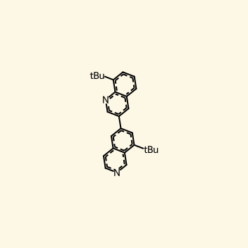 CC(C)(C)c1cc(-c2cnc3c(C(C)(C)C)cccc3c2)cc2ccncc12